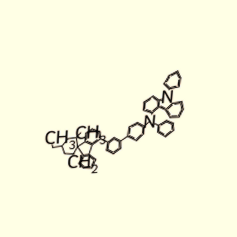 C=C1CC(CC)CC(C)C12c1ccccc1-c1c(-c3cccc(-c4ccc(N(c5ccccc5)c5cccc6c5c5ccccc5n6-c5ccccc5)cc4)c3)cccc12